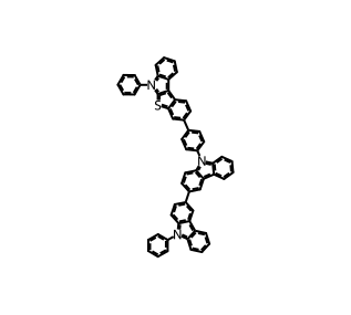 c1ccc(-n2c3ccccc3c3cc(-c4ccc5c(c4)c4ccccc4n5-c4ccc(-c5ccc6c(c5)sc5c6c6ccccc6n5-c5ccccc5)cc4)ccc32)cc1